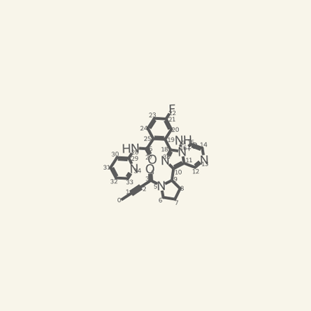 CC#CC(=O)N1CCCC1C1=C2C=NC=C[N+]2(N)C(c2cc(F)ccc2C(=O)Nc2ccccn2)=N1